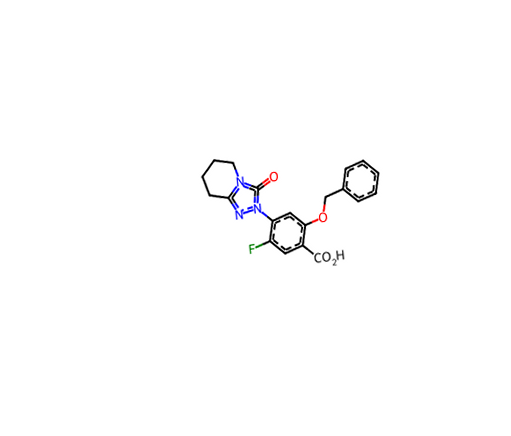 O=C(O)c1cc(F)c(-n2nc3n(c2=O)CCCC3)cc1OCc1ccccc1